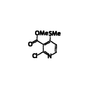 COC(=O)c1c(SC)ccnc1Cl